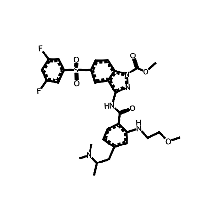 COCCNc1cc(CC(C)N(C)C)ccc1C(=O)Nc1nn(C(=O)OC)c2ccc(S(=O)(=O)c3cc(F)cc(F)c3)cc12